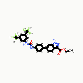 CCOC(=O)c1n[nH]c2cc(-c3ccc(NC(=O)Nc4cc(C(F)(F)F)cc(C(F)(F)F)c4)cc3)ccc12